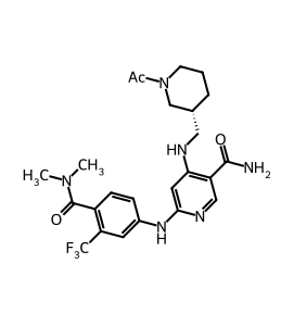 CC(=O)N1CCC[C@H](CNc2cc(Nc3ccc(C(=O)N(C)C)c(C(F)(F)F)c3)ncc2C(N)=O)C1